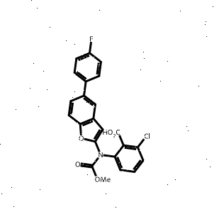 COC(=O)N(c1cc2cc(-c3ccc(F)cc3)ccc2o1)c1cccc(Cl)c1C(=O)O